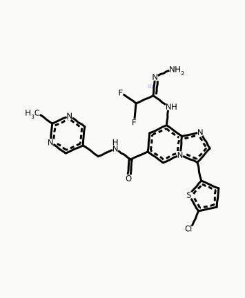 Cc1ncc(CNC(=O)c2cc(N/C(=N\N)C(F)F)c3ncc(-c4ccc(Cl)s4)n3c2)cn1